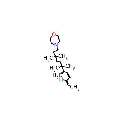 C=C(/C=C\C(Cl)=C/C)C(C)(C)CCC(C)(C)CCN1CCOCC1